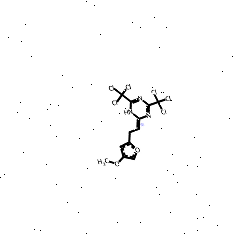 COc1coc(C/C=C2/N=C(C(Cl)(Cl)Cl)N=C(C(Cl)(Cl)Cl)N2)c1